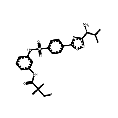 CC(C)[C@H](N)c1nc(-c2ccc(S(=O)(=O)Nc3cccc(NC(=O)C(C)(C)CF)c3)cc2)no1